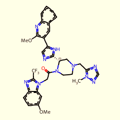 COc1ccc2nc(C(F)(F)F)n(CC(=O)N3CCN(Cc4ncnn4C)C[C@H]3c3ncc(-c4cc5ccccc5nc4OC)[nH]3)c2c1